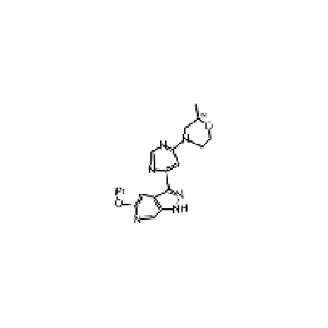 CC(C)Oc1cc2c(-c3cc(N4CCO[C@H](C)C4)ncn3)n[nH]c2cn1